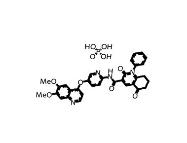 COc1cc2nccc(Oc3ccc(NC(=O)c4cc5c(n(-c6ccccc6)c4=O)CCCC5=O)nc3)c2cc1OC.O=P(O)(O)O